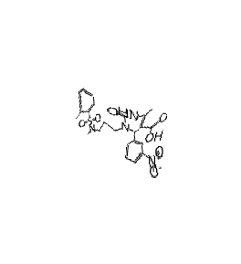 CC1=C(C(=O)O)C(c2cccc([N+](=O)[O-])c2)N(CCCN(C)S(=O)(=O)c2ccccc2C)C(=O)N1